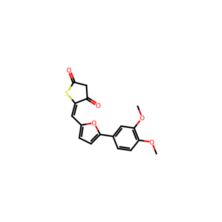 COc1ccc(-c2ccc(C=C3SC(=O)CC3=O)o2)cc1OC